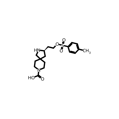 Cc1ccc(S(=O)(=O)OCC[C@H]2CC3(CCN(C(=O)O)CC3)CN2)cc1